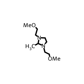 COCCN1CCN(CCOC)C1C